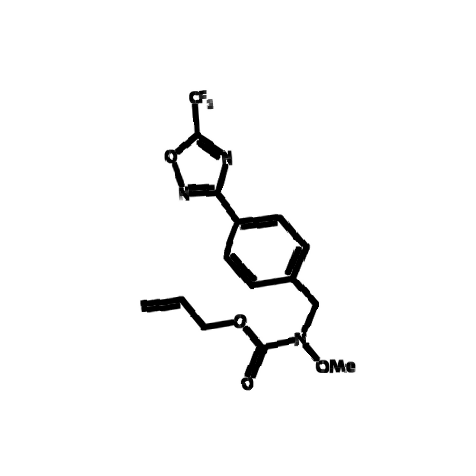 C=CCOC(=O)N(Cc1ccc(-c2noc(C(F)(F)F)n2)cc1)OC